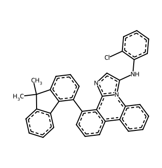 CC1(C)c2ccccc2-c2c(-c3cccc4c5ccccc5n5c(Nc6ccccc6Cl)cnc5c34)cccc21